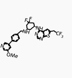 COc1cncc(-c2ccc(CN[C@@H]3C[C@H](Nc4ncnc5sc(CC(F)(F)F)cc45)CC(F)(F)C3)cc2)c1